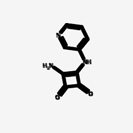 Nc1c(Nc2cccnc2)c(=O)c1=O